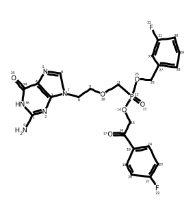 Nc1nc2c(ncn2CCOCP(=O)(OCC(=O)c2ccc(F)cc2)OCc2cccc(F)c2)c(=O)[nH]1